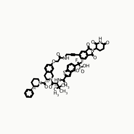 CC(C)(C)[C@H](NC(=O)c1cc2cc(C(F)(F)P(=O)(O)O)ccc2s1)C(=O)N1Cc2cc(OCC(=O)NCC#Cc3ccc4c(c3)C(=O)N(C3CCC(=O)NC3=O)C4=O)ccc2C[C@H]1C(=O)N1CCC[C@H](c2ccccc2)C1